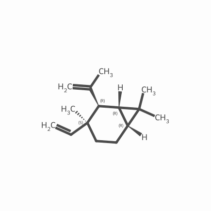 C=C[C@]1(C)CC[C@@H]2[C@H]([C@@H]1C(=C)C)C2(C)C